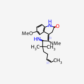 C/C=C\CCC(C)(C)C(=N)/C(NC)=C1/CC(=O)Nc2ccc(OC)cc21